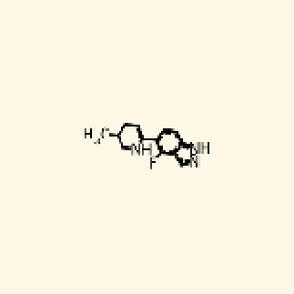 CC1CC=C(c2ccc3[nH]ncc3c2F)NC1